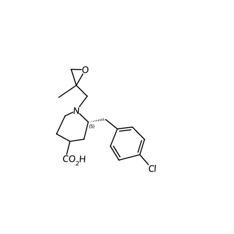 CC1(CN2CCC(C(=O)O)C[C@H]2Cc2ccc(Cl)cc2)CO1